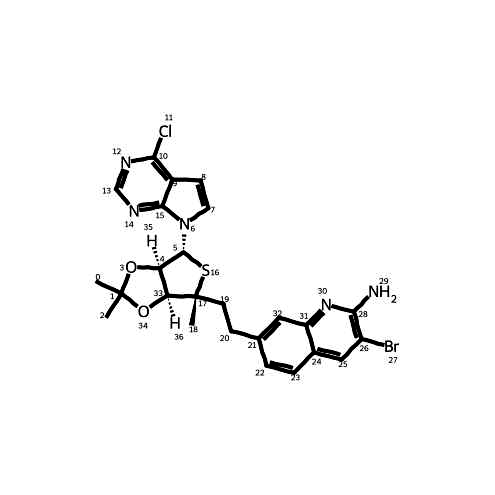 CC1(C)O[C@H]2[C@H](n3ccc4c(Cl)ncnc43)S[C@](C)(CCc3ccc4cc(Br)c(N)nc4c3)[C@H]2O1